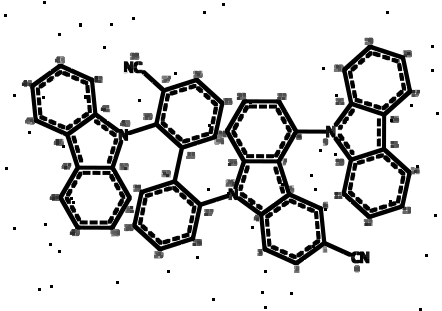 N#Cc1ccc2c(c1)c1c(-n3c4ccccc4c4ccccc43)cccc1n2-c1ccccc1-c1cccc(C#N)c1-n1c2ccccc2c2ccccc21